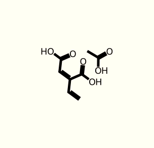 C=C/C(=C/C(=O)O)C(=O)O.CC(=O)O